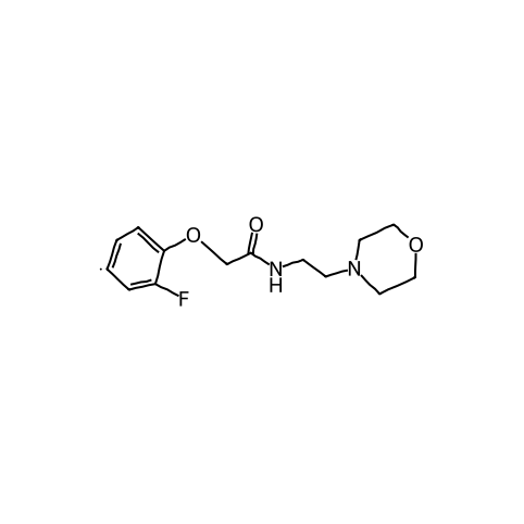 O=C(COc1cc[c]cc1F)NCCN1CCOCC1